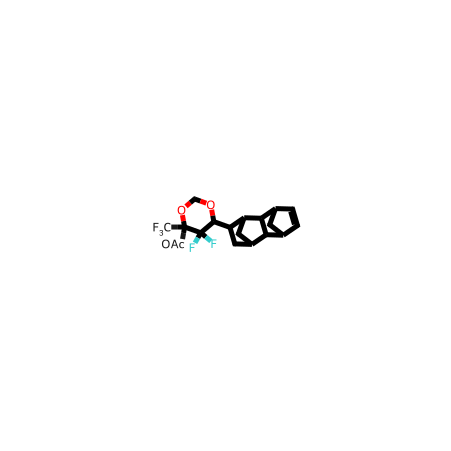 CC(=O)OC1(C(F)(F)F)OCOC(C2CC3CC2C2C4C=CC(C4)C32)C1(F)F